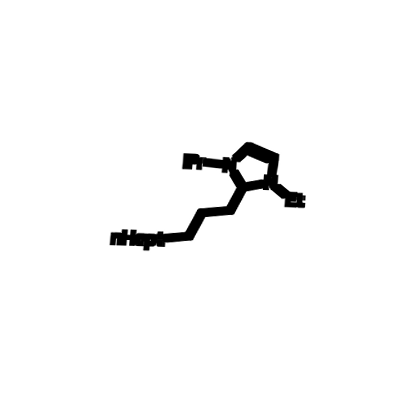 CCCCCCCCCCC1N(CC)C=CN1C(C)C